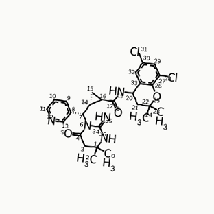 CC1(C)CC(=O)N([C@H](c2cccnc2)[C@@H]2C[C@H]2C(=O)NC2CC(C)(C)Oc3c(Cl)cc(Cl)cc32)C(=N)N1